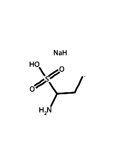 [CH2]CC(N)S(=O)(=O)O.[NaH]